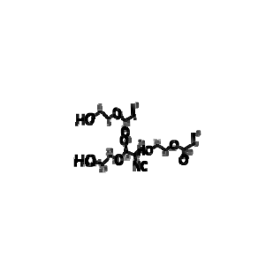 C=CC(=O)OCCO.C=CC(=O)OCCO.[C-]#[N+]C(=C)C(=O)OCCO